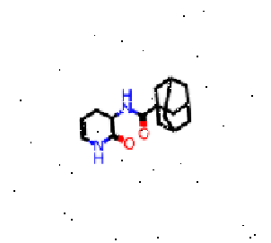 O=C1NC=CCC1NC(=O)C12CC3CC(CC(C3)C1)C2